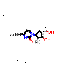 CC(=O)Nc1ccn(C2C[C@H](CO)[C@@H](O)[C@@H]2C#N)c(=O)n1